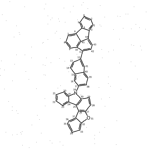 c1ccc2c(c1)-c1cccc3c(-c4ccc5cc(-n6c7ccccc7c7c8c(ccc76)oc6ccccc68)ccc5c4)ccc-2c13